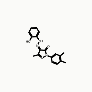 CC1=NN(c2ccc(C)c(C)c2)C(=O)C1=NNc1ccccc1O